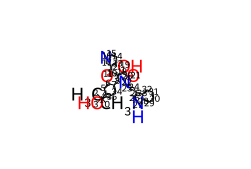 CC(C)(O)c1ccc(C2C(C(=O)c3cccnc3)=C(O)C(=O)N2CCc2c[nH]c3ccccc23)cc1